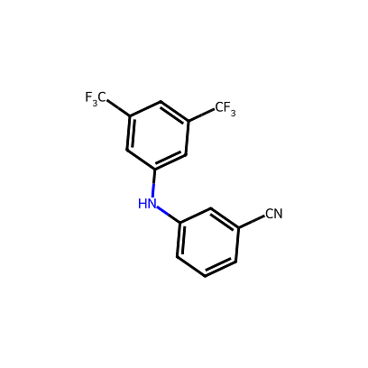 N#Cc1cccc(Nc2cc(C(F)(F)F)cc(C(F)(F)F)c2)c1